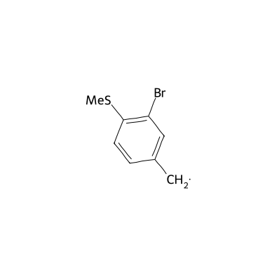 [CH2]c1ccc(SC)c(Br)c1